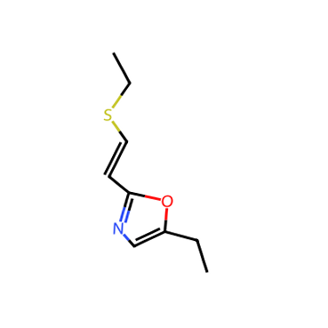 CCSC=Cc1ncc(CC)o1